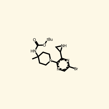 CC1(NC(=O)OC(C)(C)C)CCN(c2ncc(Br)nc2C2CN2)CC1